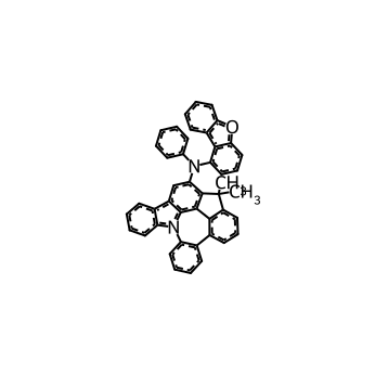 CC1(C)c2cccc3c2-c2c1c(N(c1ccccc1)c1cccc4oc5ccccc5c14)cc1c4ccccc4n(c21)-c1ccccc1-3